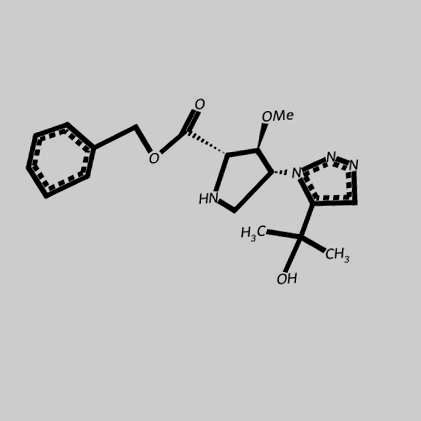 CO[C@@H]1[C@@H](C(=O)OCc2ccccc2)NC[C@H]1n1nncc1C(C)(C)O